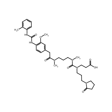 COc1cc(CC(=O)N(C)CCCN(C)C(=O)N(CCCN2CCCC2=O)CCC(=O)O)ccc1NC(=O)Nc1ccccc1C